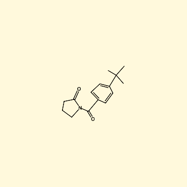 CC(C)(C)c1ccc(C(=O)N2CCCC2=O)cc1